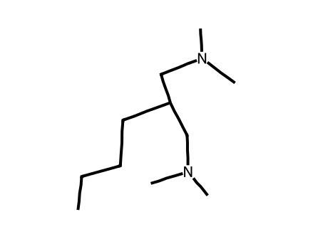 CCCCC(CN(C)C)CN(C)C